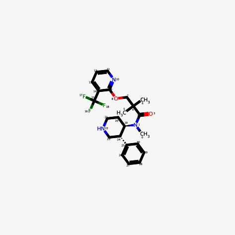 CN(C(=O)C(C)(C)COc1ncccc1C(F)(F)F)[C@@H]1CCNC[C@H]1c1ccccc1